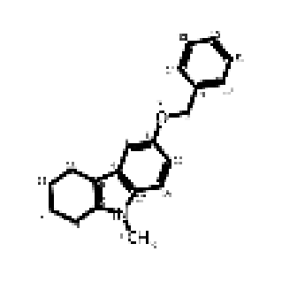 Cn1c2c(c3cc(OCc4ccccc4)ccc31)CCCC2